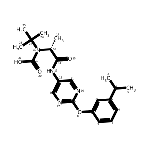 CC(C)c1cccc(Oc2ncc(NC(=O)[C@@H](C)N(C(=O)O)C(C)(C)C)cn2)c1